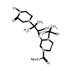 CCN1CCN(C(C)(C)C(C)CC2CN(C(=O)OC)CCN2C(C)(C)C(C)C)CC1=O